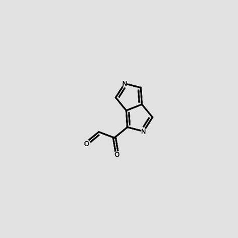 O=CC(=O)C1=C2C=NC=C2C=N1